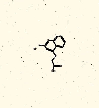 C[n+]1cc(CCC(=O)O)c2ccccc2n1.[Cl-]